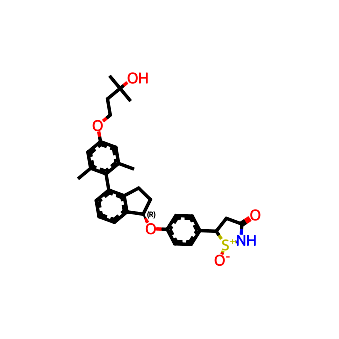 Cc1cc(OCCC(C)(C)O)cc(C)c1-c1cccc2c1CC[C@H]2Oc1ccc(C2CC(=O)N[S+]2[O-])cc1